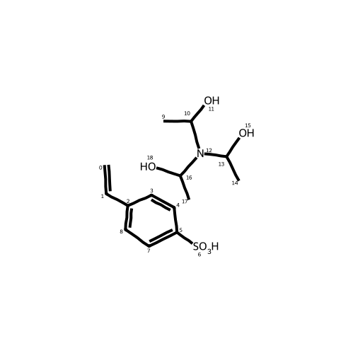 C=Cc1ccc(S(=O)(=O)O)cc1.CC(O)N(C(C)O)C(C)O